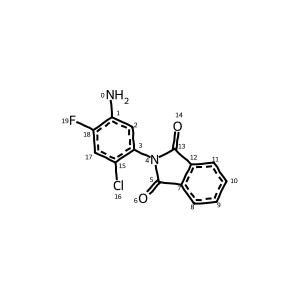 Nc1cc(N2C(=O)c3ccccc3C2=O)c(Cl)cc1F